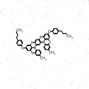 CCCCc1ccc(Oc2cc3c4c(c2)Sc2cc5c(cc2B4c2ccc(C)cc2S3)B2c3ccc(C)cc3Sc3cc(Oc4ccc(CCCC)cc4)cc(c32)S5)cc1